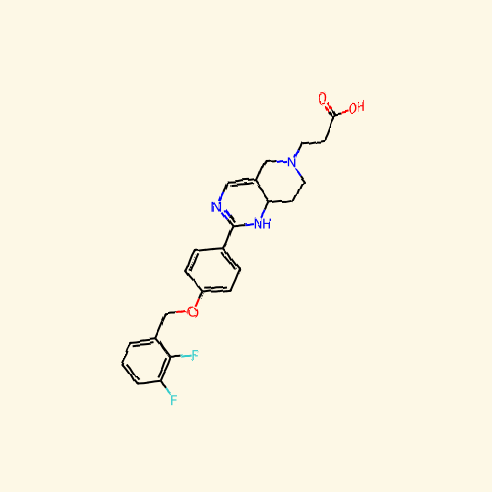 O=C(O)CCN1CCC2NC(c3ccc(OCc4cccc(F)c4F)cc3)=NC=C2C1